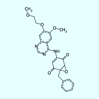 COCCOc1cc2ncnc(NC3=CC(=O)C4(Cc5ccccc5)OC4C3=O)c2cc1OC